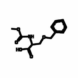 COC(=O)NC(COCc1ccccc1)C(=O)O